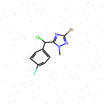 Cn1nc(Br)nc1C(Cl)c1ccc(F)cc1